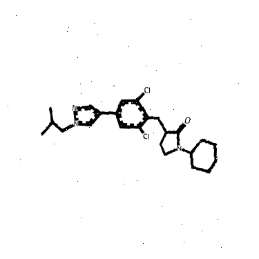 CC(C)Cn1cc(-c2cc(Cl)c(CC3CCN(C4CCCCC4)C3=O)c(Cl)c2)cn1